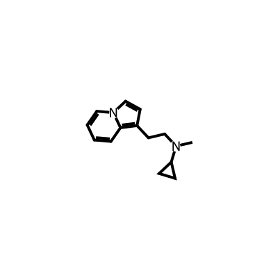 CN(CCc1ccn2ccccc12)C1CC1